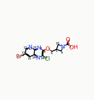 O=C(O)N1CC(COc2nc3ncc(Br)cc3nc2Cl)C1